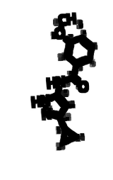 COc1cccc(C(=O)Nc2cc(C3CC3)n[nH]2)c1